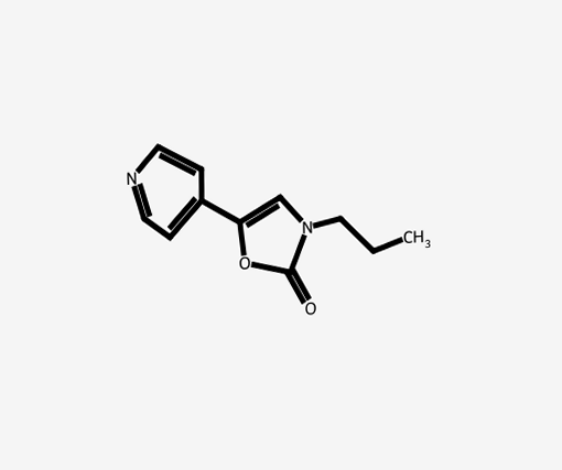 CCCn1cc(-c2ccncc2)oc1=O